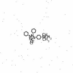 C[N+](C)(C)c1ccc(N2[C+]=NN(c3ccccc3)N2c2ccccc2)cc1.[Cl-].[Cl-]